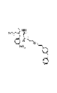 CCOC(=O)C1=C(C)NC(C)=C(C(=O)OCCOCC=Cc2ccc(Cc3ccncc3)cc2)C1c1cccc([N+](=O)[O-])c1